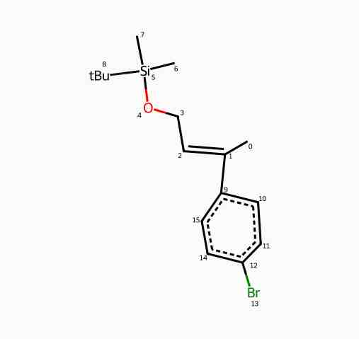 CC(=CCO[Si](C)(C)C(C)(C)C)c1ccc(Br)cc1